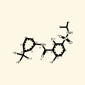 CC(C)NS(=O)(=O)c1ccc(F)c(C(=O)Nc2cccc(C(F)(F)F)c2)c1F